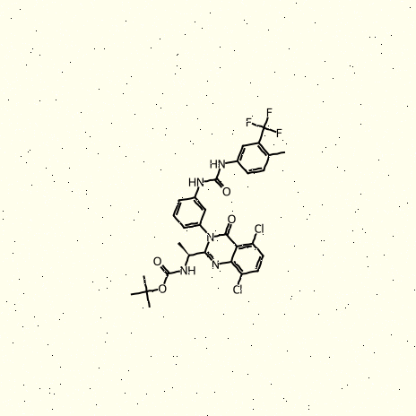 Cc1ccc(NC(=O)Nc2cccc(-n3c([C@H](C)NC(=O)OC(C)(C)C)nc4c(Cl)ccc(Cl)c4c3=O)c2)cc1C(F)(F)F